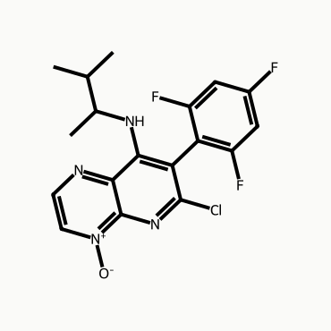 CC(C)C(C)Nc1c(-c2c(F)cc(F)cc2F)c(Cl)nc2c1ncc[n+]2[O-]